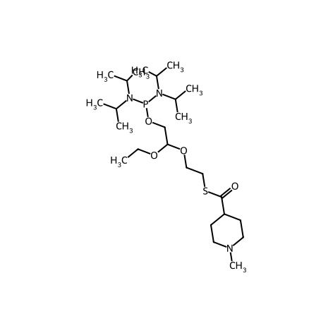 CCOC(COP(N(C(C)C)C(C)C)N(C(C)C)C(C)C)OCCSC(=O)C1CCN(C)CC1